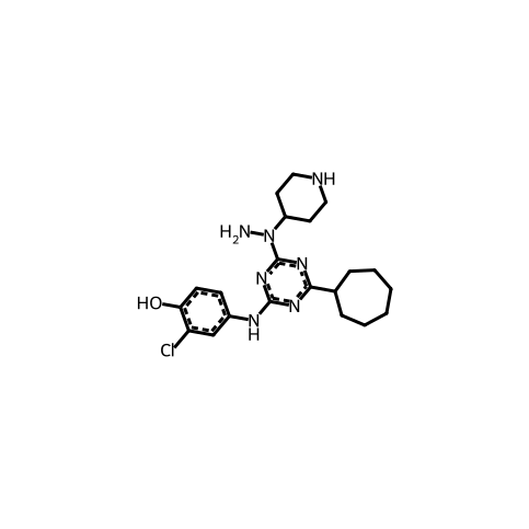 NN(c1nc(Nc2ccc(O)c(Cl)c2)nc(C2CCCCCC2)n1)C1CCNCC1